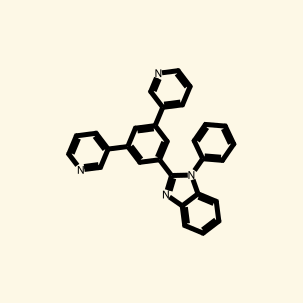 c1ccc(-n2c(-c3cc(-c4cccnc4)cc(-c4cccnc4)c3)nc3ccccc32)cc1